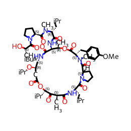 CC[C@H](C)[C@@H]1NC(=O)[C@@H](NC(=O)[C@@H](CC(C)C)N(C)C(=O)[C@@H]2CCCN2C(=O)[C@H](C)O)[C@@H](C)OC(=O)[C@H](Cc2ccc(OC)cc2)N(C)C(=O)[C@@H]2CCCN2C(=O)[C@H](CC(C)C)NC(=O)[C@@H](C)C(=O)[C@H](C(C)C)OC(=O)C[C@H]1OC(C)C